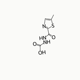 Cc1cnc(C(=O)NNC(=O)O)s1